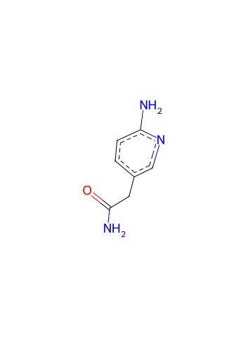 NC(=O)Cc1ccc(N)nc1